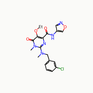 CCOc1c(C(=O)Nc2cnoc2)nc(N(C)Cc2cccc(Cl)c2)n(C)c1=O